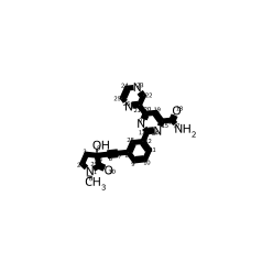 CN1CC[C@@](O)(C#Cc2cccc(-c3nc(C(N)=O)cc(-c4cnccn4)n3)c2)C1=O